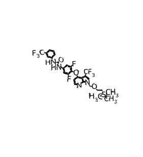 C[Si](C)(C)CCOCn1cc(C(F)(F)F)c2c(Oc3c(F)cc(NC(=O)Nc4cccc(C(F)(F)F)c4)cc3F)ccnc21